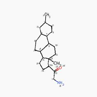 CC1CCC2C(CCC3C2CCC2(C)C(C(=O)CN)CCC32)C1